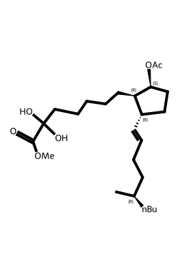 CCCC[C@@H](C)CCC=C[C@H]1CC[C@H](OC(C)=O)[C@@H]1CCCCCC(O)(O)C(=O)OC